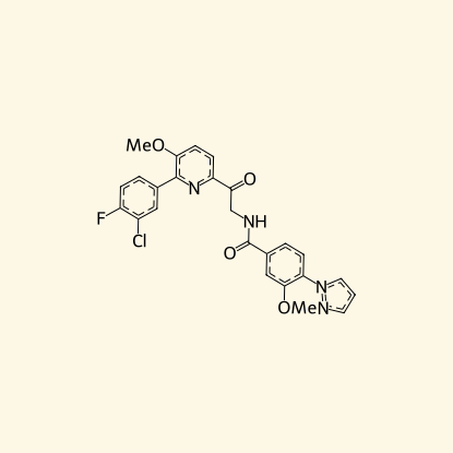 COc1cc(C(=O)NCC(=O)c2ccc(OC)c(-c3ccc(F)c(Cl)c3)n2)ccc1-n1cccn1